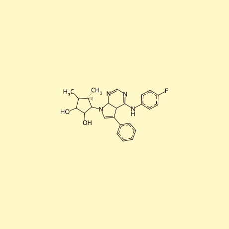 CC1C(O)C(O)C(N2C=C(c3ccccc3)C3C(Nc4ccc(F)cc4)=NC=NC32)[C@H]1C